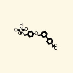 [C-]#[N+]c1ccc(-c2cccc(COc3ccc(Cn4oc(=O)[nH]c4=O)cc3)c2)cc1